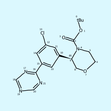 CC(C)(C)OC(=O)N1CCOC[C@H]1c1cc(Cl)cc(-c2ncncn2)c1